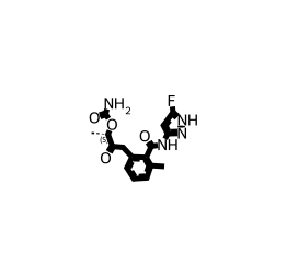 Cc1cccc(CC(=O)[C@H](C)OC(N)=O)c1C(=O)Nc1cc(F)[nH]n1